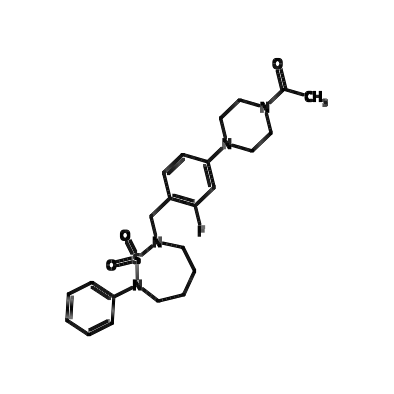 CC(=O)N1CCN(c2ccc(CN3CCCCN(c4ccccc4)S3(=O)=O)c(F)c2)CC1